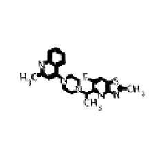 Cc1cc(N2CCN(C(C)c3nc4nc(C)sc4cc3F)CC2)c2ccccc2n1